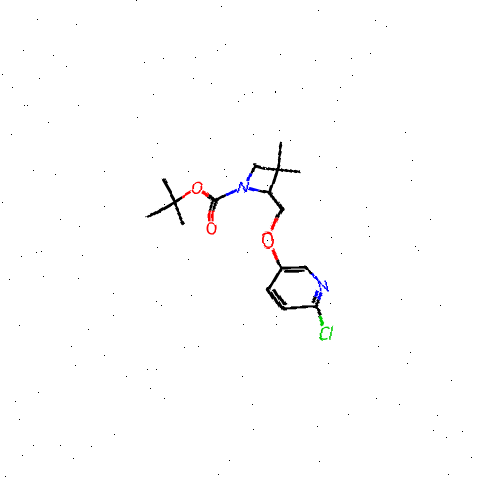 CC(C)(C)OC(=O)N1CC(C)(C)C1COc1ccc(Cl)nc1